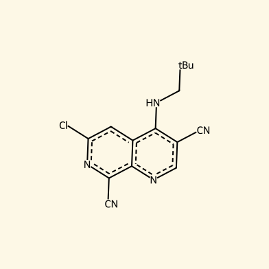 CC(C)(C)CNc1c(C#N)cnc2c(C#N)nc(Cl)cc12